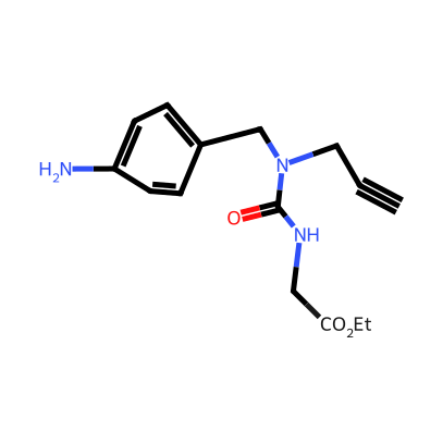 C#CCN(Cc1ccc(N)cc1)C(=O)NCC(=O)OCC